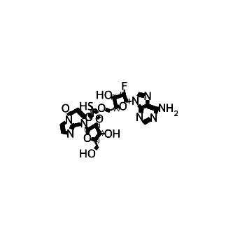 Nc1ncnc2c1ncn2[C@@H]1O[C@H](CO[P@@](=O)(S)O[C@@H]2[C@H](O)[C@@H](CO)O[C@H]2n2ccc(=O)n3ccnc23)[C@@H](O)[C@@H]1F